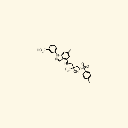 Cc1ccc(S(=O)(=O)OCC(O)(CNc2cc(C)cc3c2cnn3-c2cccc(C(=O)O)c2)C(F)(F)F)cc1